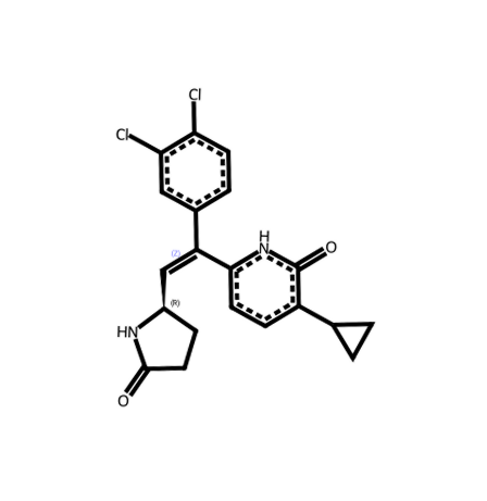 O=C1CC[C@H](/C=C(/c2ccc(Cl)c(Cl)c2)c2ccc(C3CC3)c(=O)[nH]2)N1